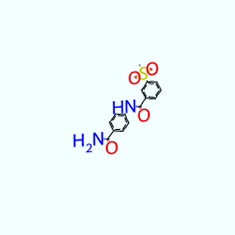 CS(=O)(=O)c1cccc(C(=O)Nc2ccc(C(N)=O)cc2)c1